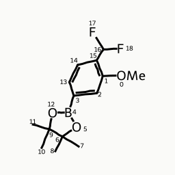 COc1cc(B2OC(C)(C)C(C)(C)O2)ccc1C(F)F